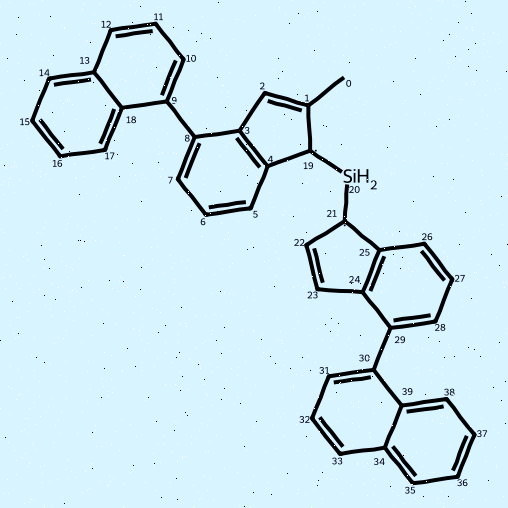 CC1=Cc2c(cccc2-c2cccc3ccccc23)[C]1[SiH2][C]1C=Cc2c1cccc2-c1cccc2ccccc12